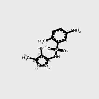 Cc1ccc(N)cc1S(=O)(=O)Nc1onc(C)c1Br